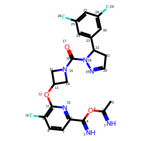 CC(=N)OC(=N)c1ccc(F)c(OC2CN(C(=O)N3N=CCC3c3cc(F)cc(F)c3)C2)n1